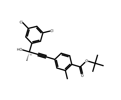 Cc1cc(C#C[C@@](C)(O)c2cc(Cl)cc(Cl)c2)ccc1C(=O)OC(C)(C)C